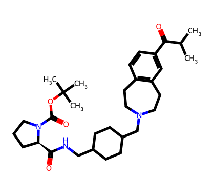 CC(C)C(=O)c1ccc2c(c1)CCN(CC1CCC(CNC(=O)[C@H]3CCCN3C(=O)OC(C)(C)C)CC1)CC2